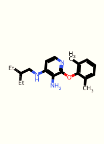 CCC(CC)CNc1ccnc(Oc2c(C)cccc2C)c1N